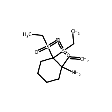 C=CC1(N)CCCCC1(S(=O)(=O)CC)S(=O)(=O)CC